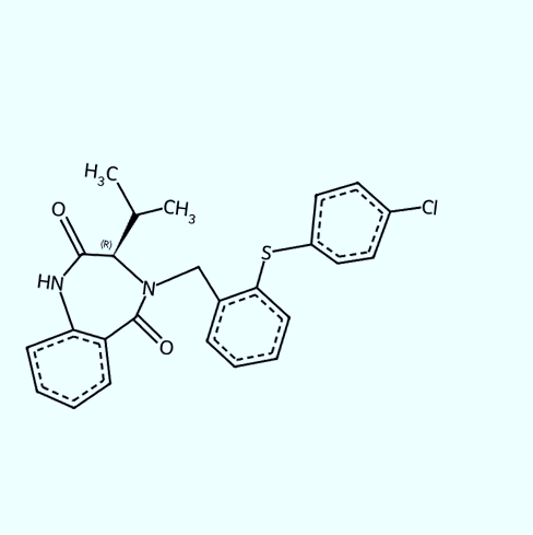 CC(C)[C@@H]1C(=O)Nc2ccccc2C(=O)N1Cc1ccccc1Sc1ccc(Cl)cc1